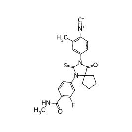 [C-]#[N+]c1ccc(N2C(=O)C3(CCCC3)N(c3ccc(C(=O)NC)c(F)c3)C2=S)cc1C